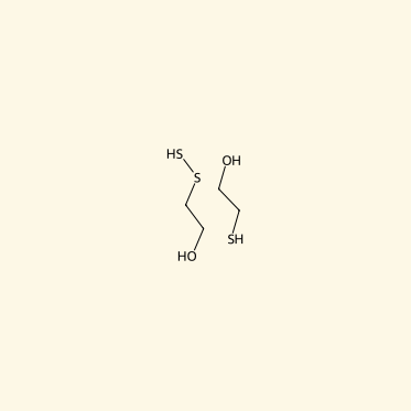 OCCS.OCCSS